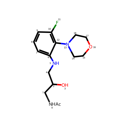 CC(=O)NCC(O)CNc1cccc(F)c1N1CCOCC1